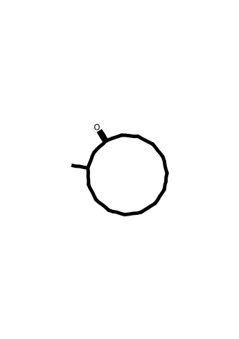 CC1CCCCCCCCCCCCC(=O)C1